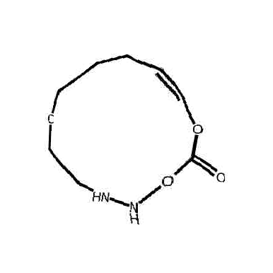 O=C1OC=CCCCCCCNNO1